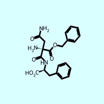 NC(=O)C[C@](N)(C(=O)N[C@@H](Cc1ccccc1)C(=O)O)C(=O)OCc1ccccc1